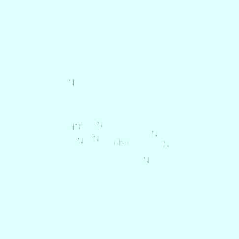 CCCCc1nc(C)nn1Cc1ccc(-c2ccncc2-c2nnn[nH]2)cc1